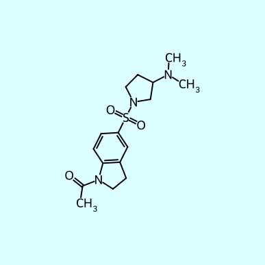 CC(=O)N1CCc2cc(S(=O)(=O)N3CCC(N(C)C)C3)ccc21